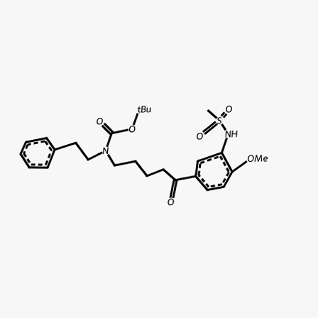 COc1ccc(C(=O)CCCCN(CCc2ccccc2)C(=O)OC(C)(C)C)cc1NS(C)(=O)=O